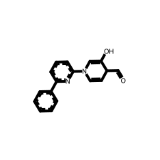 O=CC1C=CN(c2cccc(-c3ccccc3)n2)C=C1O